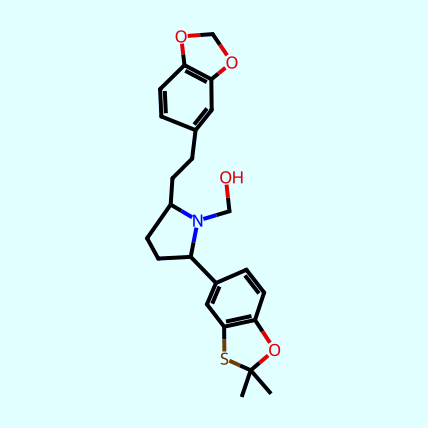 CC1(C)Oc2ccc(C3CCC(CCc4ccc5c(c4)OCO5)N3CO)cc2S1